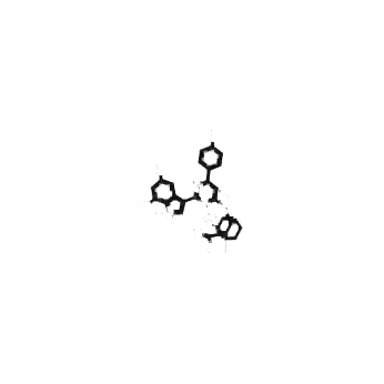 O=C(O)[C@H]1C2CCC(CC2)[C@@H]1Nc1cc(-c2ccc(F)cc2)nc(-c2c[nH]c3c(F)cc(F)cc23)n1